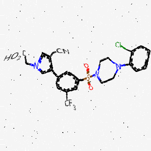 N#Cc1cn(CC(=O)O)cc1-c1cc(C(F)(F)F)cc(S(=O)(=O)N2CCN(c3ccccc3Cl)CC2)c1